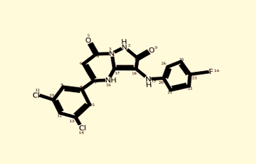 O=c1[nH]n2c(=O)cc(-c3cc(Cl)cc(Cl)c3)[nH]c2c1Nc1ccc(F)cc1